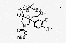 CC(C)(C)[Si](C)(C)O[Si](C)(C)C(C)(C)C.CCCCOC(=O)N1CCOC(CCO)(c2ccc(Cl)c(Cl)c2)C1